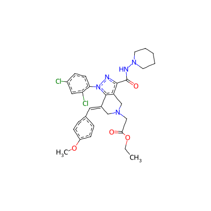 CCOC(=O)CN1C/C(=C\c2ccc(OC)cc2)c2c(c(C(=O)NN3CCCCC3)nn2-c2ccc(Cl)cc2Cl)C1